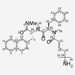 CNC(=O)[C@@H](Cc1ccc2ccccc2c1)N(C)C(=O)[C@@H](Cc1ccccc1)N(C)C(=O)C=CCC(C)(C)N